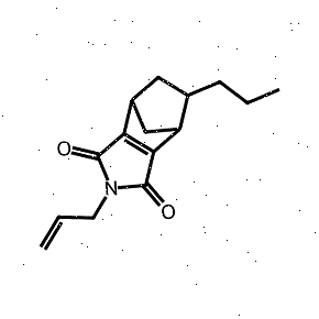 C=CCN1C(=O)C2=C(C1=O)C1CC2CC1CCC